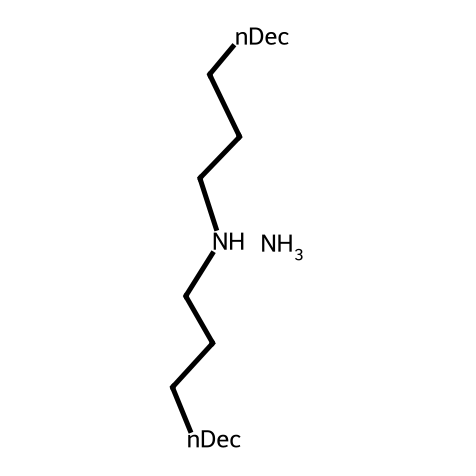 CCCCCCCCCCCCCNCCCCCCCCCCCCC.N